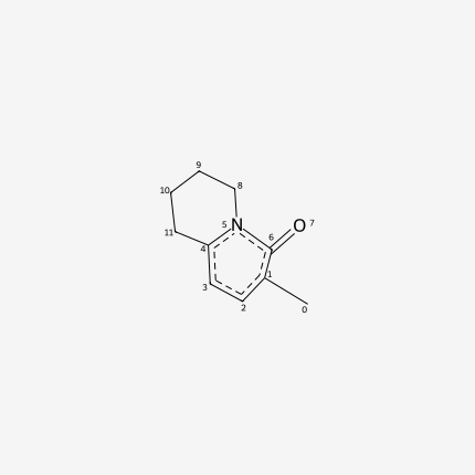 Cc1ccc2n(c1=O)CCCC2